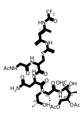 C=C(/C=C(\C)NC(=O)C(F)(F)F)NC(=C)SCC(NC(=O)CNC(C)=O)C(=O)NC(CC(N)=O)C(=O)N(C[C@@H](C)O)[C@@H](C)C(=O)N[C@](O)(C=O)[C@@H](C)[C@H](COC(C)=O)OC(C)=O